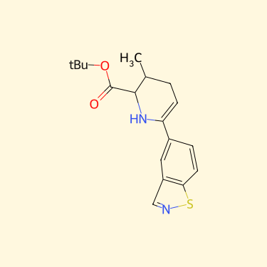 CC1CC=C(c2ccc3sncc3c2)NC1C(=O)OC(C)(C)C